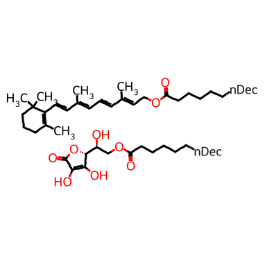 CCCCCCCCCCCCCCCC(=O)OC/C=C(C)/C=C/C=C(C)/C=C/C1=C(C)CCCC1(C)C.CCCCCCCCCCCCCCCC(=O)OC[C@H](O)[C@H]1OC(=O)C(O)=C1O